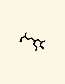 C=CC(C)CCC(=CCC)CC(C)C=C